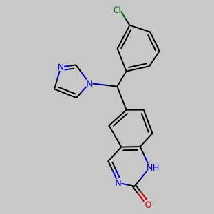 O=c1ncc2cc(C(c3cccc(Cl)c3)n3ccnc3)ccc2[nH]1